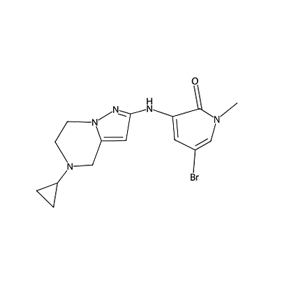 Cn1cc(Br)cc(Nc2cc3n(n2)CCN(C2CC2)C3)c1=O